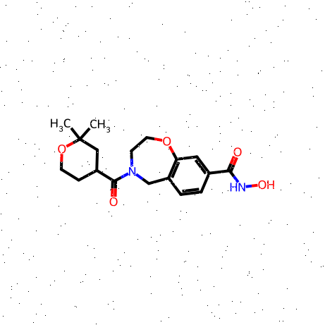 CC1(C)CC(C(=O)N2CCOc3cc(C(=O)NO)ccc3C2)CCO1